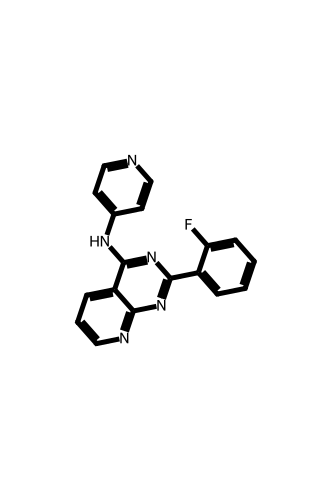 Fc1ccccc1-c1nc(Nc2ccncc2)c2cccnc2n1